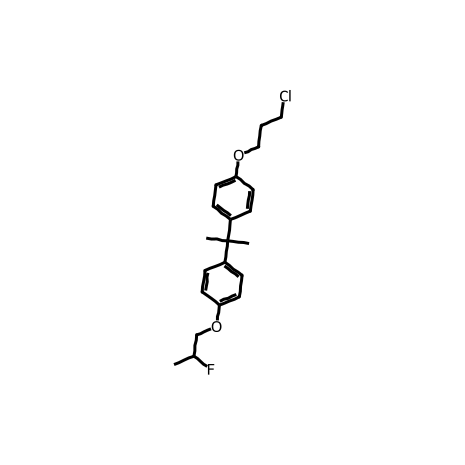 CC(F)COc1ccc(C(C)(C)c2ccc(OCCCCl)cc2)cc1